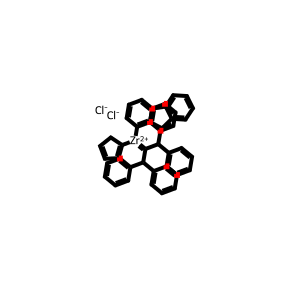 C1=CC[C]([Zr+2](=[C](C(c2ccccc2)c2ccccc2)C(c2ccccc2)c2ccccc2)[c]2cccc3c2Cc2ccccc2-3)=C1.[Cl-].[Cl-]